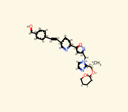 C[C@H](OC1CCCCO1)c1nccn1Cc1cc(-c2ccc(C#Cc3ccc(C=O)cc3)cn2)on1